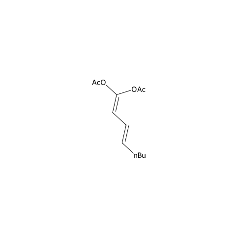 CCCCC=CC=C(OC(C)=O)OC(C)=O